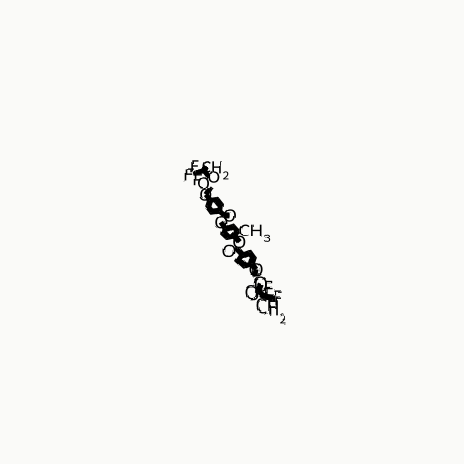 C=C(C(=O)OCOc1ccc(C(=O)Oc2ccc(OC(=O)c3ccc(OCOC(=O)C(=C)C(F)(F)F)cc3)c(C)c2)cc1)C(F)(F)F